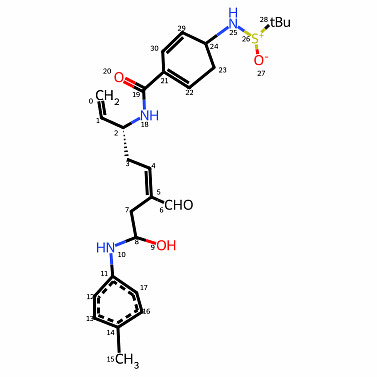 C=C[C@@H](C/C=C(/C=O)CC(O)Nc1ccc(C)cc1)NC(=O)C1=CCC(N[S+]([O-])C(C)(C)C)C=C1